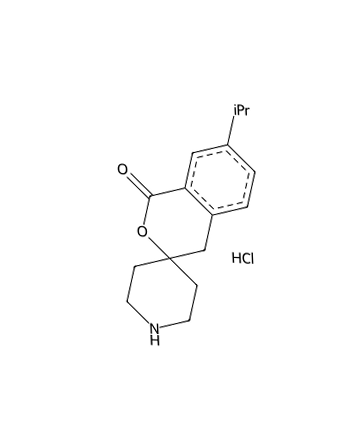 CC(C)c1ccc2c(c1)C(=O)OC1(CCNCC1)C2.Cl